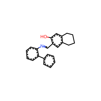 Oc1cc2c(cc1/C=N/c1ccccc1-c1ccccc1)CCCC2